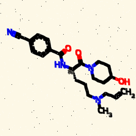 C=CCN(C)CCC[C@H](NC(=O)c1ccc(C#N)cc1)C(=O)N1CCC(O)CC1